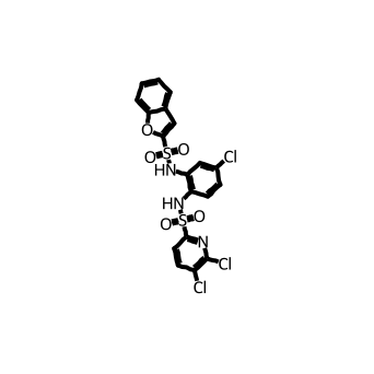 O=S(=O)(Nc1ccc(Cl)cc1NS(=O)(=O)c1cc2ccccc2o1)c1ccc(Cl)c(Cl)n1